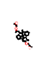 C=C/C=C(\C=C/COCC1CO1)C(/C(C=C)=C/C=C(\C)OCC1CO1)(c1ccccc1)c1ccccc1